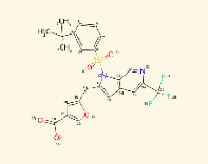 CC(C)(C)c1cccc(S(=O)(=O)n2c(Cc3cc(C(=O)O)co3)cc3cc(C(F)(F)F)ncc32)c1